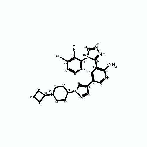 Nc1ncc(-c2cnn(C3CCN(C4CCC4)CC3)c2)cc1-c1nnnn1-c1cccc(F)c1F